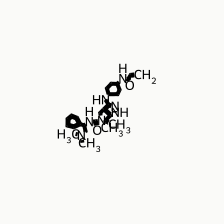 C=CC(=O)NC1CCC(Nc2n[nH]c3c2CN(C(=O)NC(CN(C)C)c2ccccc2)C3(C)C)CC1